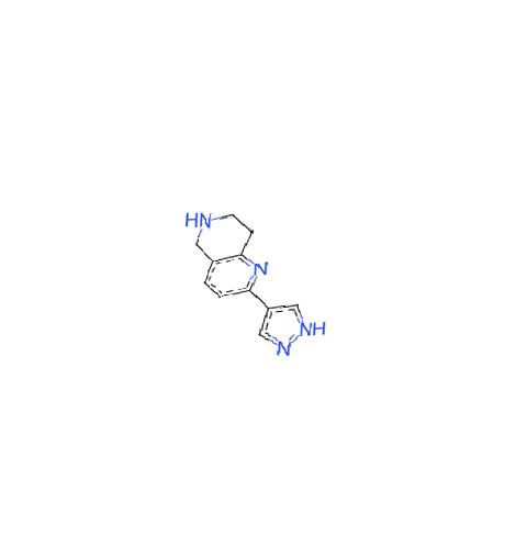 c1n[nH]cc1-c1ccc2c(n1)CCNC2